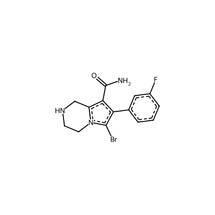 NC(=O)c1c(-c2cccc(F)c2)c(Br)n2c1CNCC2